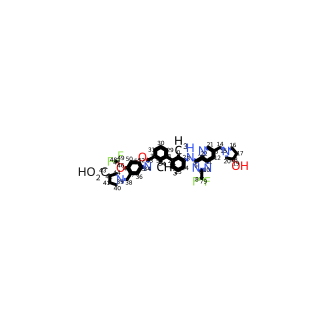 Cc1c(Nc2nc(C(F)F)nc3cc(CN4CCC(O)C4)cnc23)cccc1-c1cccc(-c2nc3cc(CN4CCC(C(=O)O)C4)c(OC(F)F)cc3o2)c1C